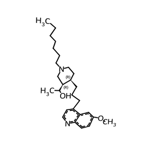 CCCCCCCN1CC[C@@H](CCCc2ccnc3ccc(OC)cc23)[C@@H](C(C)O)C1